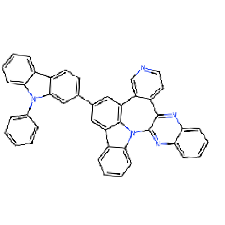 c1ccc(-n2c3ccccc3c3ccc(-c4cc5c6c(c4)c4ccccc4n6-c4nc6ccccc6nc4-c4ccncc4-5)cc32)cc1